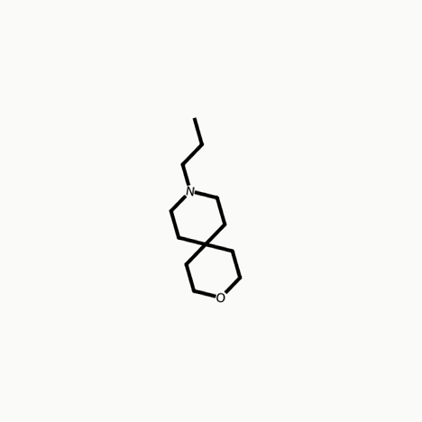 CCCN1CCC2(CCOCC2)CC1